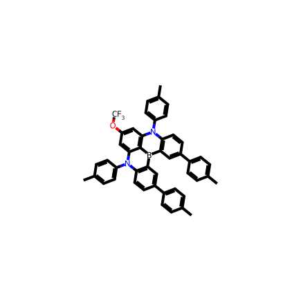 Cc1ccc(-c2ccc3c(c2)B2c4cc(-c5ccc(C)cc5)ccc4N(c4ccc(C)cc4)c4cc(OC(F)(F)F)cc(c42)N3c2ccc(C)cc2)cc1